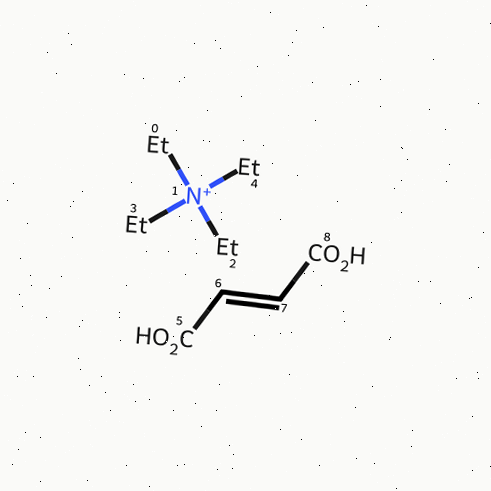 CC[N+](CC)(CC)CC.O=C(O)/C=C/C(=O)O